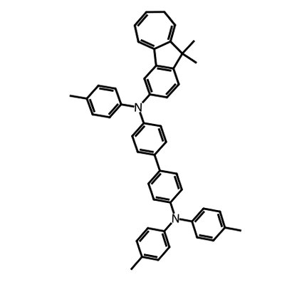 Cc1ccc(N(c2ccc(C)cc2)c2ccc(-c3ccc(N(c4ccc(C)cc4)c4ccc5c(c4)C4=CC=CCC=C4C5(C)C)cc3)cc2)cc1